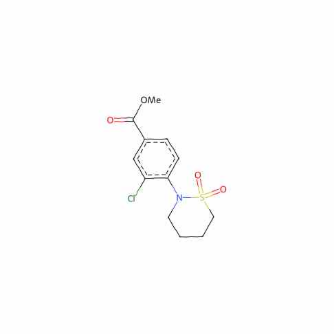 COC(=O)c1ccc(N2CCCCS2(=O)=O)c(Cl)c1